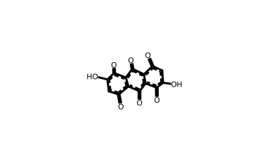 O=c1cc(O)c(=O)c2c(=O)c3c(=O)cc(O)c(=O)c3c(=O)c12